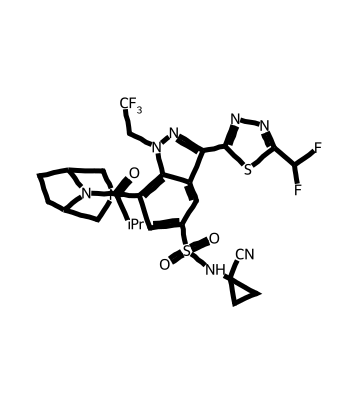 CC(C)C(=O)N1C2CCC1CN(c1cc(S(=O)(=O)NC3(C#N)CC3)cc3c(-c4nnc(C(F)F)s4)nn(CC(F)(F)F)c13)C2